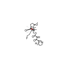 CO[C@@H]1CCC23CC[C@@H](C)[C@](C)(C12)[C@H](OC(=O)NC(=O)[C@H]1CN2CC[C@@H]1C2)C[C@@](C)(CCF)C(=O)[C@@H]3C